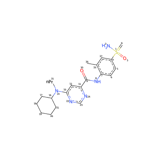 C=S(N)(=O)c1ccc(NC(=O)c2cc(N(CCC)C3CCCCC3)ncn2)c(C)c1